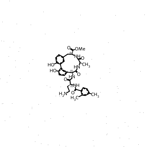 COC(=O)[C@@H]1Cc2ccc(O)c(c2)-c2cc(ccc2O)[C@H](NC(=O)[C@H](CCN)NC(=O)c2ccc(C)cc2C)C(=O)N[C@@H](C)C(=O)N1